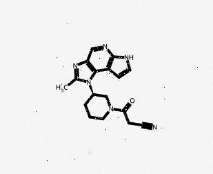 Cc1nc2cnc3[nH]ccc3c2n1[C@@H]1CCCN(C(=O)CC#N)C1